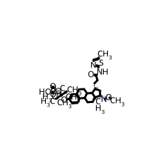 CO/N=C1\C[C@@H](CCC(=O)Nc2ncc(C)s2)C2C3CCc4cc(OC(OP(=O)(O)O)(C(C)(C)C)C(C)(C)C)ccc4C3CC[C@]12C